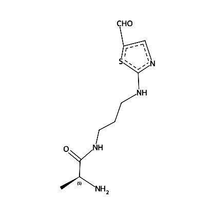 C[C@H](N)C(=O)NCCCNc1ncc(C=O)s1